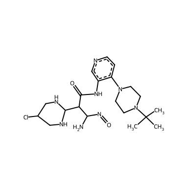 CC(C)(C)N1CCN(c2ccncc2NC(=O)C(C(N)N=O)C2NCC(Cl)CN2)CC1